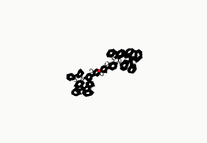 c1ccc(C2(c3cccc(N(c4ccc5c(c4)oc4cc6c(cc45)oc4cc5c(cc46)oc4cc(N(c6cccc(C7(c8ccccc8)c8ccccc8-c8ccccc87)c6)c6cccc7c6sc6ccccc67)ccc45)c4cccc5c4sc4ccccc45)c3)c3ccccc3-c3ccccc32)cc1